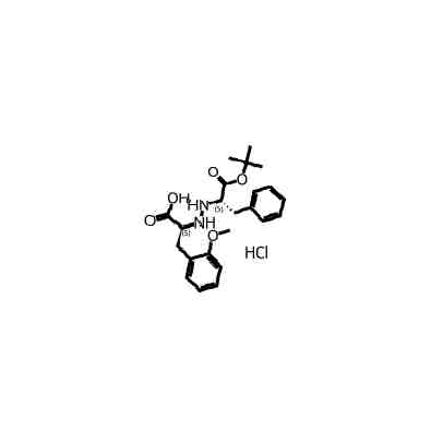 COc1ccccc1C[C@H](NN[C@@H](Cc1ccccc1)C(=O)OC(C)(C)C)C(=O)O.Cl